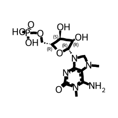 CN1CN([C@@H]2O[C@H](COP(=O)(O)O)[C@@H](O)[C@H]2O)c2nc(=O)n(C)c(N)c21